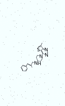 C/C(=C\c1ccccc1)CNC1CCN(c2ncnc3c(C)csc23)CC1